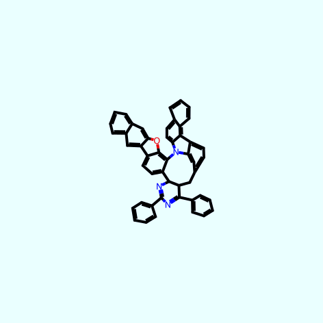 c1ccc(C2=NC3c4ccc5c(oc6cc7ccccc7cc65)c4-n4c5cc(ccc5c5c6ccccc6ccc54)CC3C(c3ccccc3)=N2)cc1